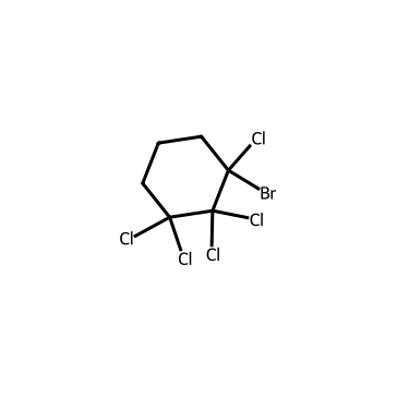 ClC1(Cl)CCCC(Cl)(Br)C1(Cl)Cl